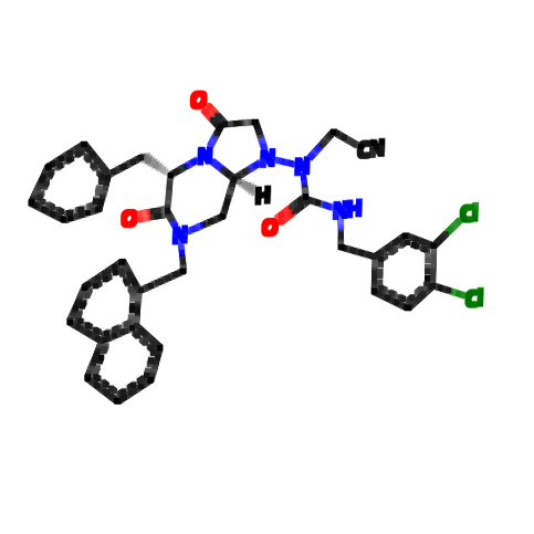 N#CCN(C(=O)NCc1ccc(Cl)c(Cl)c1)N1CC(=O)N2[C@@H](Cc3ccccc3)C(=O)N(Cc3cccc4ccccc34)C[C@@H]21